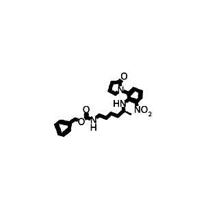 C[C@@H](CCCCNC(=O)OCc1ccccc1)Nc1c(N2CCCC2=O)cccc1[N+](=O)[O-]